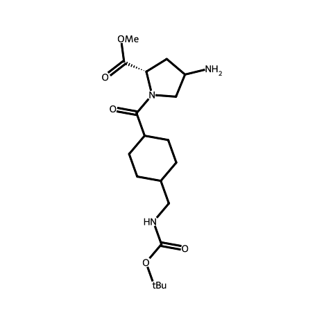 COC(=O)[C@@H]1CC(N)CN1C(=O)C1CCC(CNC(=O)OC(C)(C)C)CC1